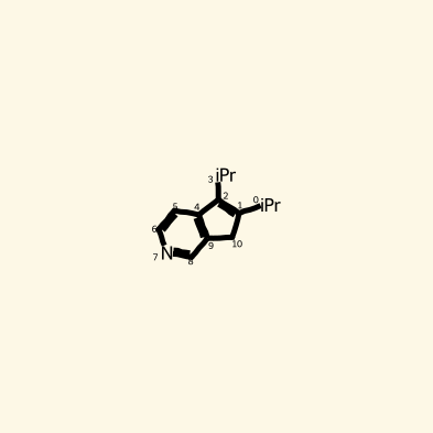 CC(C)C1=C(C(C)C)c2ccncc2C1